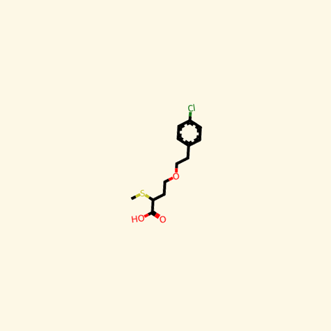 CSC(CCOCCc1ccc(Cl)cc1)C(=O)O